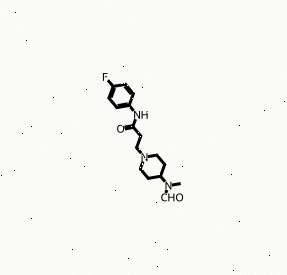 CN(C=O)C1CCN(CCC(=O)Nc2ccc(F)cc2)CC1